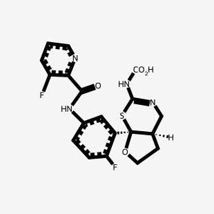 O=C(O)NC1=NC[C@H]2CCO[C@@]2(c2cc(NC(=O)c3ncccc3F)ccc2F)S1